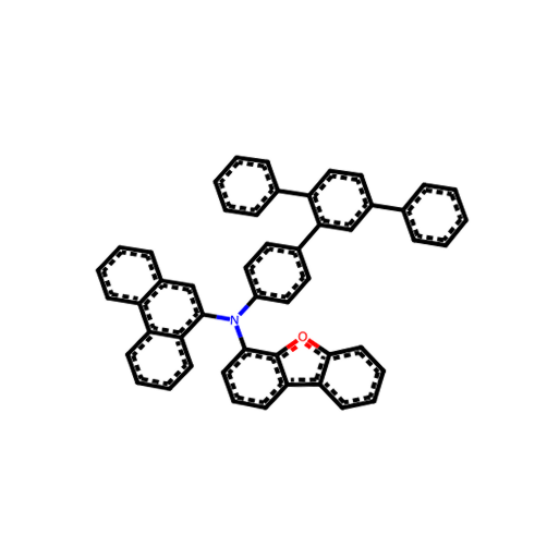 c1ccc(-c2ccc(-c3ccccc3)c(-c3ccc(N(c4cc5ccccc5c5ccccc45)c4cccc5c4oc4ccccc45)cc3)c2)cc1